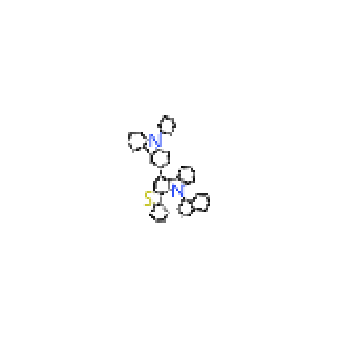 c1ccc(-n2c3ccccc3c3cc(-c4cc5sc6ccccc6c5c5c4c4ccccc4n5-c4cccc5ccccc45)ccc32)cc1